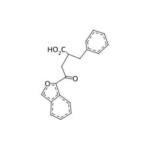 O=C(CC(Cc1ccccc1)C(=O)O)c1occ2ccccc12